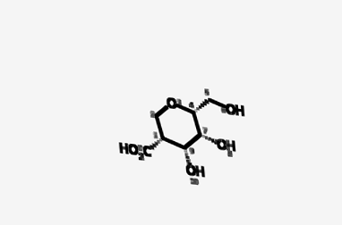 O=C(O)[C@@H]1CO[C@H](CO)[C@H](O)[C@@H]1O